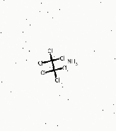 ClC(Cl)(Cl)C(Cl)(Cl)Cl.N